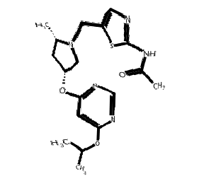 CC(=O)Nc1ncc(CN2C[C@H](Oc3cc(OC(C)C)ncn3)C[C@@H]2C)s1